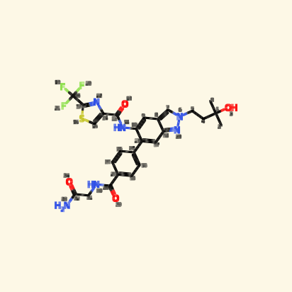 CC(C)(O)CCn1cc2cc(NC(=O)c3csc(C(F)(F)F)n3)c(-c3ccc(C(=O)NCC(N)=O)cc3)cc2n1